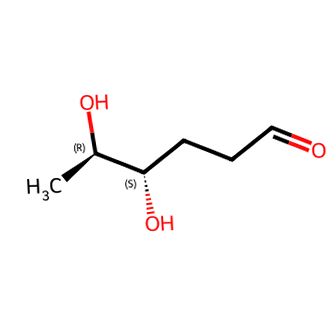 C[C@@H](O)[C@@H](O)CCC=O